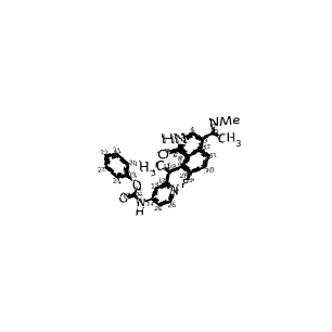 CNC(C)c1c[nH]c(=O)c2c(C(C)c3cc(NC(=O)Oc4ccccc4)ccn3)c(F)ccc12